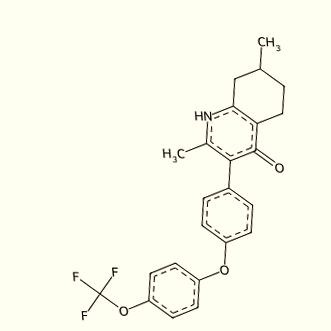 Cc1[nH]c2c(c(=O)c1-c1ccc(Oc3ccc(OC(F)(F)F)cc3)cc1)CCC(C)C2